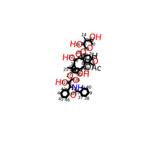 CC(=O)O[C@@]12CO[C@@H]1C[C@H](OC1OC[C@@H](O)[C@H](C)[C@H]1O)[C@@]1(C)C(=O)[C@H](O)C3=C(C)[C@@H](OC(=O)[C@H](O)[C@@H](NC(=O)c4ccccc4)c4ccccc4)C[C@@](O)([C@@H](C)[C@H]21)C3(C)C